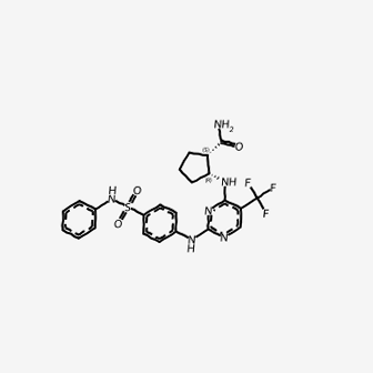 NC(=O)[C@H]1CCC[C@H]1Nc1nc(Nc2ccc(S(=O)(=O)Nc3ccccc3)cc2)ncc1C(F)(F)F